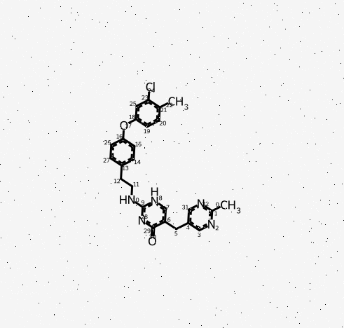 Cc1ncc(Cc2c[nH]c(NCCc3ccc(Oc4ccc(C)c(Cl)c4)cc3)nc2=O)cn1